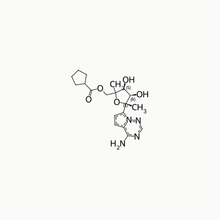 CC1(COC(=O)C2CCCC2)O[C@@](C)(c2ccc3c(N)ncnn23)[C@H](O)[C@@H]1O